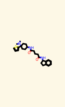 CN(C)C1(c2cccs2)CCC(NC(=O)CCCC(=O)NC2CCc3ccccc32)CC1